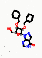 O=c1[nH]cnc2c1cnn2[C@@H]1O[C@H](CO)[C@@H](OCc2ccccc2)[C@H]1OCc1ccccc1